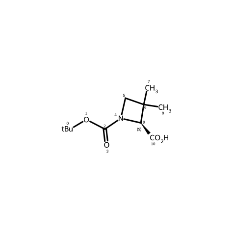 CC(C)(C)OC(=O)N1CC(C)(C)[C@H]1C(=O)O